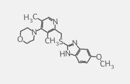 COc1ccc2[nH]c(SCc3ncc(C)c(N4CCOCC4)c3C)nc2c1